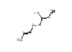 CC=COCC(O)CO